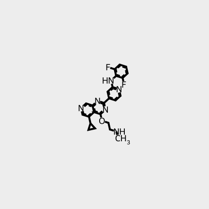 CNCCOc1nc(-c2ccnc(Nc3c(F)cccc3F)c2)nc2cncc(C3CC3)c12